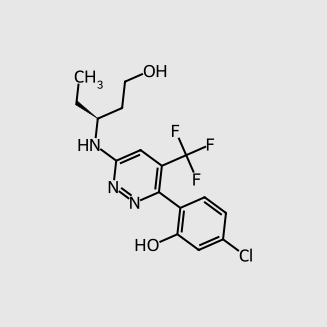 CC[C@@H](CCO)Nc1cc(C(F)(F)F)c(-c2ccc(Cl)cc2O)nn1